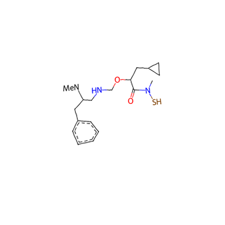 CNC(CNCOC(CC1CC1)C(=O)N(C)S)Cc1ccccc1